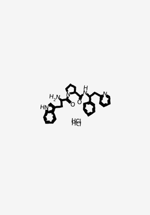 Cl.Cl.NC(Cc1c[nH]c2ccccc12)C(=O)N1CCCC1C(=O)NC(Cc1ccccn1)c1ccccc1